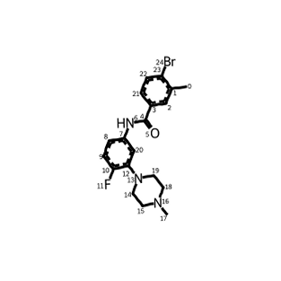 Cc1cc(C(=O)Nc2ccc(F)c(N3CCN(C)CC3)c2)ccc1Br